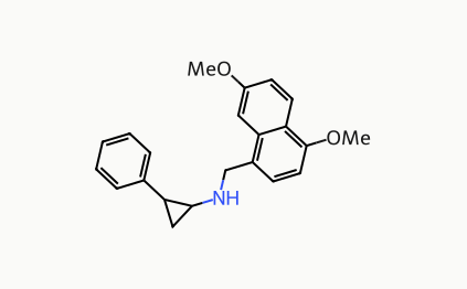 COc1ccc2c(OC)ccc(CNC3CC3c3ccccc3)c2c1